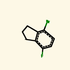 Fc1ccc(Br)c2c1[CH]CC2